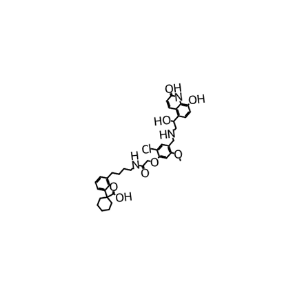 COc1cc(OCC(=O)NCCCCc2cccc(C3(C(=O)O)CCCCC3)c2)c(Cl)cc1CNCC(O)c1ccc(O)c2[nH]c(=O)ccc12